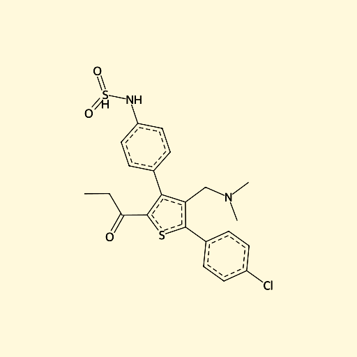 CCC(=O)c1sc(-c2ccc(Cl)cc2)c(CN(C)C)c1-c1ccc(N[SH](=O)=O)cc1